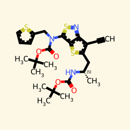 C#Cc1c(C[C@H](C)NC(=O)OC(C)(C)C)sc2c(N(Cc3cccs3)C(=O)OC(C)(C)C)snc12